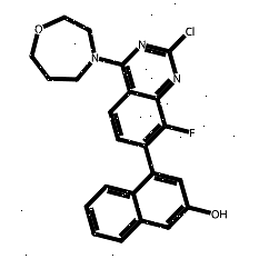 Oc1cc(-c2ccc3c(N4CCCOCC4)nc(Cl)nc3c2F)c2ccccc2c1